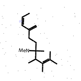 C=C(/C=C\C)CCC(C)(NC)C(C)C(C)=C(C)C